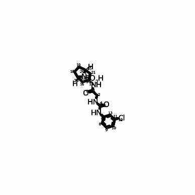 O=C(CNC(=O)Nc1cccc(Cl)c1)N[C@H]1C[C@H]2CC[C@@H](C1)N2C(=O)O